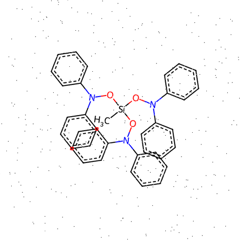 C[Si](ON(c1ccccc1)c1ccccc1)(ON(c1ccccc1)c1ccccc1)ON(c1ccccc1)c1ccccc1